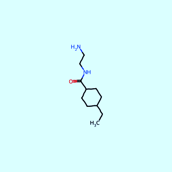 CCC1CCC(C(=O)NCCN)CC1